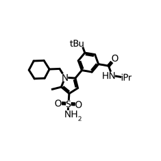 Cc1c(S(N)(=O)=O)cc(-c2cc(C(=O)NC(C)C)cc(C(C)(C)C)c2)n1CC1CCCCC1